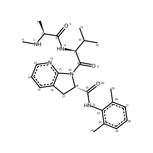 CN[C@@H](C)C(=O)N[C@H](C(=O)N1c2ncccc2C[C@H]1C(=O)Nc1c(C)cccc1C)C(C)C